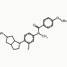 CCCCOc1ccc(C(=O)N(C)c2ccc(N3CCC4CN(C(C)C)CC43)c(F)c2)cc1